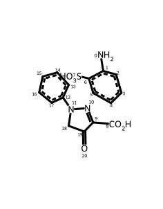 Nc1ccccc1S(=O)(=O)O.O=C(O)C1=NN(c2ccccc2)CC1=O